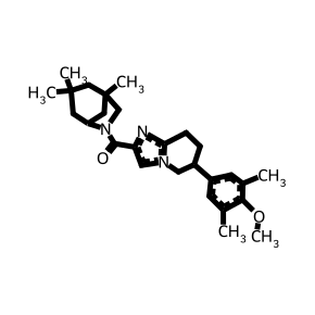 COc1c(C)cc(C2CCc3nc(C(=O)N4CC5(C)CC4CC(C)(C)C5)cn3C2)cc1C